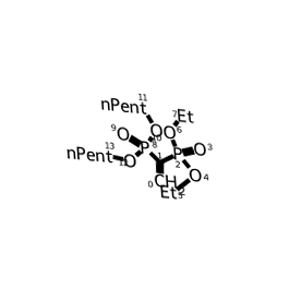 C=C(P(=O)(OCC)OCC)P(=O)(OCCCCC)OCCCCC